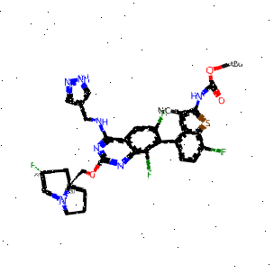 CC(C)(C)OC(=O)Nc1sc2c(F)ccc(-c3c(F)cc4c(NCc5cn[nH]c5)nc(OC[C@@]56CCCN5C[C@H](F)C6)nc4c3F)c2c1C#N